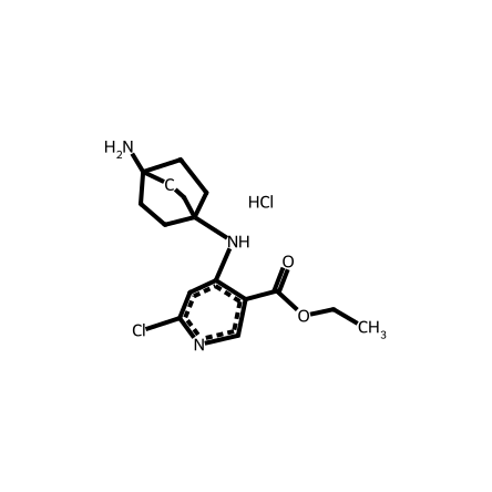 CCOC(=O)c1cnc(Cl)cc1NC12CCC(N)(CC1)CC2.Cl